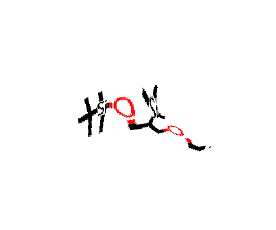 [CH2]COCC(CO[Si](C)(C)C(C)(C)C)[Si](C)(C)C